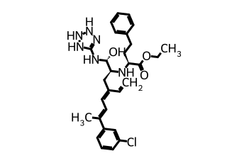 C=C/C(=C\C=C(/C)c1cccc(Cl)c1)C[C@H](N[C@@H](CCc1ccccc1)C(=O)OCC)[C@@H](O)NC1=NNNN1